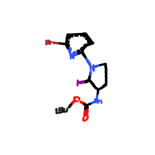 CC(C)(C)OC(=O)NC1CCN(c2cccc(Br)n2)C1I